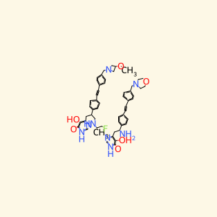 COC1CN(Cc2ccc(C#Cc3ccc(C(CN[C@@H](C)CF)Cc4nc[nH]c(=O)c4O)cc3)cc2)C1.NC(Cc1nc[nH]c(=O)c1O)c1ccc(C#Cc2ccc(CN3CCOCC3)cc2)cc1